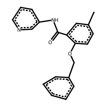 Cc1ccc(OCc2ccccc2)c(C(=O)Nc2cccnc2)c1